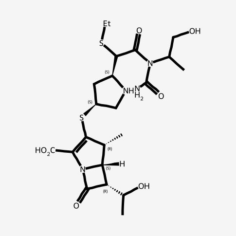 CCSC(C(=O)N(C(N)=O)C(C)CO)[C@@H]1C[C@H](SC2=C(C(=O)O)N3C(=O)[C@@H](C(C)O)[C@H]3[C@H]2C)CN1